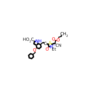 C=CCOC(=O)/C(C#N)=c1\sc(=C=Cc2ccc(OCc3ccccc3)c3cc(C(=O)O)[nH]c23)c(=O)n1CC